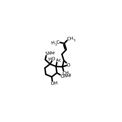 COC1C(O)CCC(O)(CSC)C1(C(C)=O)C1(C)OC1CC=C(C)C